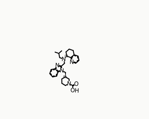 CC(C)CN(Cc1nc2ccccc2n1C[C@@H]1CCCN(C(=O)O)C1)[C@H]1CCCc2cccnc21